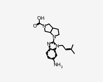 CC(C)=CCn1c(N2CCC3CN(C(=O)O)CC32)nc2ccc(N)cc21